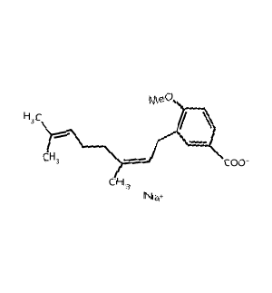 COc1ccc(C(=O)[O-])cc1CC=C(C)CCC=C(C)C.[Na+]